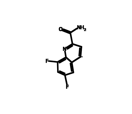 NC(=O)c1c[c]c2cc(F)cc(F)c2n1